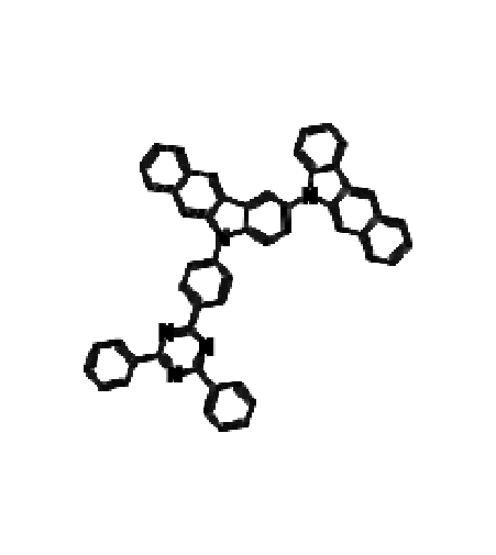 c1ccc(-c2nc(-c3ccccc3)nc(-c3ccc(-n4c5ccc(-n6c7ccccc7c7cc8ccccc8cc76)cc5c5cc6ccccc6cc54)cc3)n2)cc1